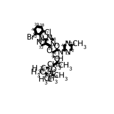 Cc1cnc(NC(=O)[C@H](CO[C@H](C)CO[Si](C(C)C)(C(C)C)C(C)C)Oc2ncnc3c2cnn3-c2c(Cl)cccc2Br)cn1